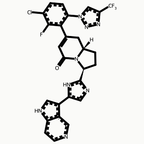 O=C1C=C(c2c(-n3cc(C(F)(F)F)nn3)ccc(Cl)c2F)C[C@@H]2CC[C@@H](c3ncc(-c4c[nH]c5ccncc45)[nH]3)N12